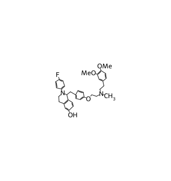 COc1ccc(CCN(C)CCOc2ccc(CC3c4ccc(O)cc4CCN3c3ccc(F)cc3)cc2)cc1OC